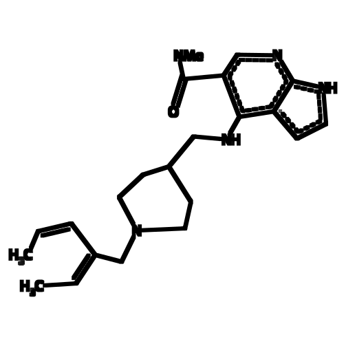 C/C=C\C(=C/C)CN1CCC(CNc2c(C(=O)NC)cnc3[nH]ccc23)CC1